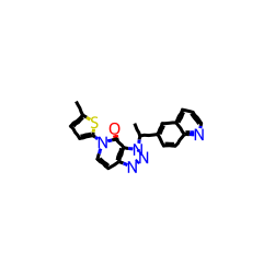 Cc1ccc(-n2ccc3nnn(C(C)c4ccc5ncccc5c4)c3c2=O)s1